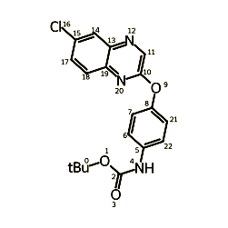 CC(C)(C)OC(=O)Nc1ccc(Oc2cnc3cc(Cl)ccc3n2)cc1